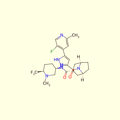 Cc1cc(-c2cc(C(=O)N3[C@@H]4CC[C@H]3C[C@H](C(=O)N[C@@H]3CC[C@H](C(F)(F)F)N(C)C3)C4)n[nH]2)c(F)cn1